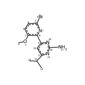 COc1ccc(Br)nc1-c1cc(C(C)C)nc(N)n1